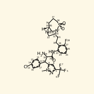 Cn1nc(C(F)(F)F)cc1C(c1ccc(Cl)cc1)C(N)C(=O)Nc1cccc(F)c1CC[C@H]1CN[C@@H]2CCCS(=O)(=O)N1C2